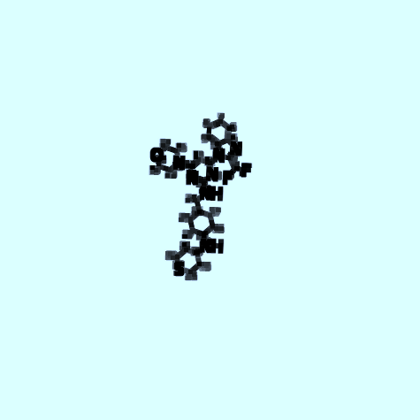 FC(F)c1nc2ccccc2n1-c1cc(N2CCOCC2)nc(NCC2CCC(NC3CCSCC3)CC2)n1